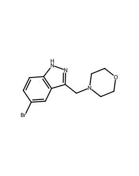 Brc1ccc2[nH]nc(CN3CCOCC3)c2c1